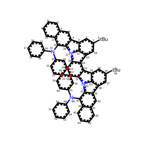 CC(C)(C)c1cc2c3cc4ccccc4c(N(c4ccccc4)c4ccccc4)c3n3c4ccc5c(c6cc(C(C)(C)C)cc7c8cc9ccccc9c(N(c9ccccc9)c9ccccc9)c8n5c76)c4c(c1)c23